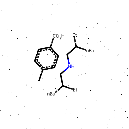 CCCCC(CC)CNCC(CC)CCCC.Cc1ccc(C(=O)O)cc1